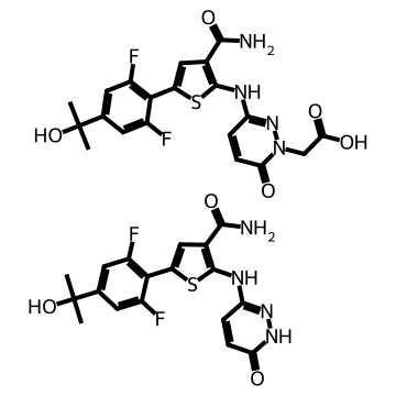 CC(C)(O)c1cc(F)c(-c2cc(C(N)=O)c(Nc3ccc(=O)[nH]n3)s2)c(F)c1.CC(C)(O)c1cc(F)c(-c2cc(C(N)=O)c(Nc3ccc(=O)n(CC(=O)O)n3)s2)c(F)c1